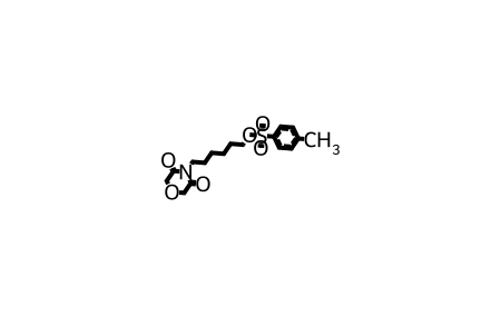 Cc1ccc(S(=O)(=O)OCCCCCCN2C(=O)COCC2=O)cc1